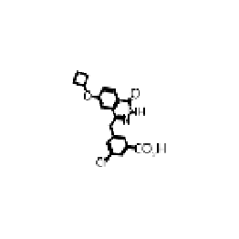 O=C(O)c1cc(Cl)cc(Cc2n[nH]c(=O)c3ccc(OC4CCC4)cc23)c1